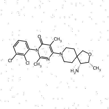 Cc1c(N2CCC3(CC2)CO[C@H](C)[C@@H]3N)nc(C)n(-c2cccc(Cl)c2Cl)c1=O